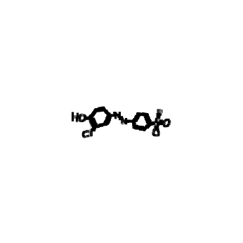 O=S(=O)(F)c1ccc(/N=N/c2ccc(O)c(Cl)c2)cc1